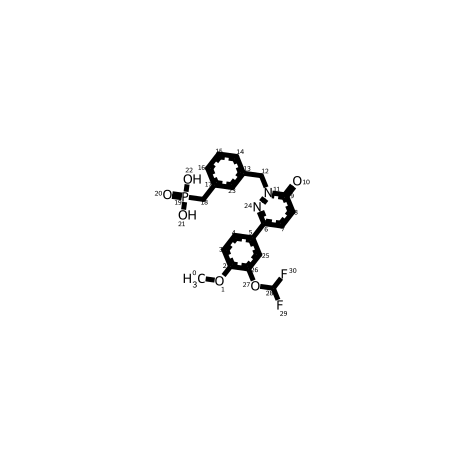 COc1ccc(-c2ccc(=O)n(Cc3cccc(CP(=O)(O)O)c3)n2)cc1OC(F)F